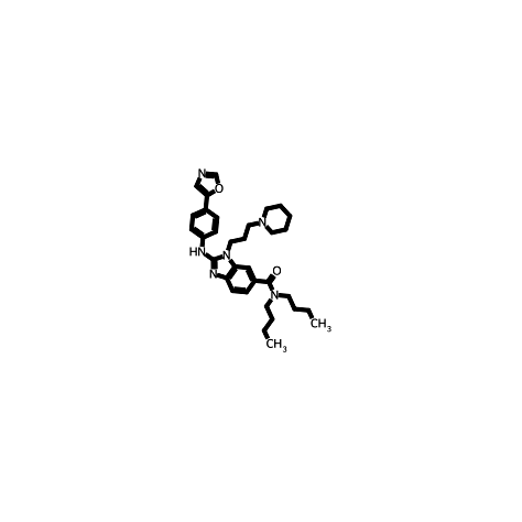 CCCCN(CCCC)C(=O)c1ccc2nc(Nc3ccc(-c4cnco4)cc3)n(CCCN3CCCCC3)c2c1